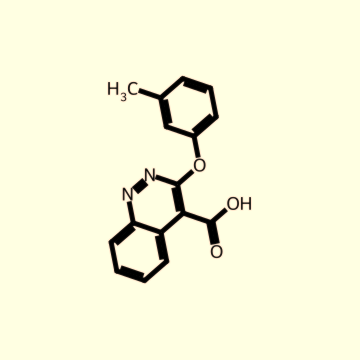 Cc1cccc(Oc2nnc3ccccc3c2C(=O)O)c1